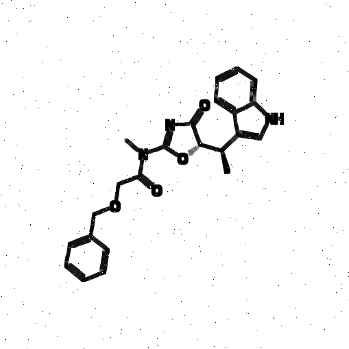 C[C@H](c1c[nH]c2ccccc12)[C@@H]1OC(N(C)C(=O)COCc2ccccc2)=NC1=O